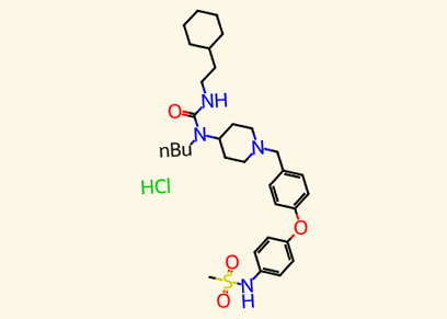 CCCCN(C(=O)NCCC1CCCCC1)C1CCN(Cc2ccc(Oc3ccc(NS(C)(=O)=O)cc3)cc2)CC1.Cl